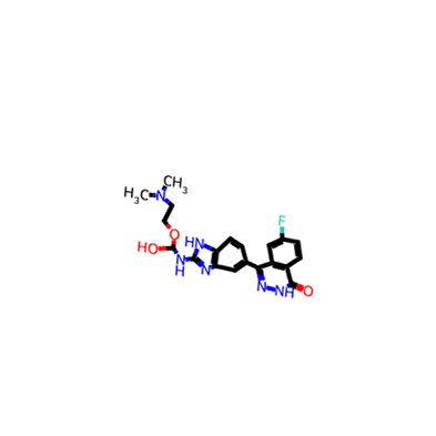 CN(C)CCOC(O)Nc1nc2cc(-c3n[nH]c(=O)c4ccc(F)cc34)ccc2[nH]1